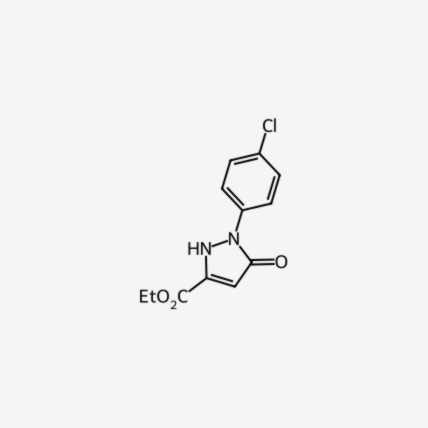 CCOC(=O)c1cc(=O)n(-c2ccc(Cl)cc2)[nH]1